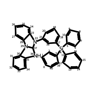 c1ccc([Si](c2ccccc2)(c2ccccc2)c2cccc(N3c4ccccc4N4c5ccccc5NC34)c2)cc1